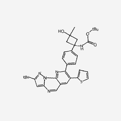 CC1(O)CC(NC(=O)OC(C)(C)C)(c2ccc(-c3nc4c(cnc5cc(C(C)(C)C)nn54)cc3-c3cccs3)cc2)C1